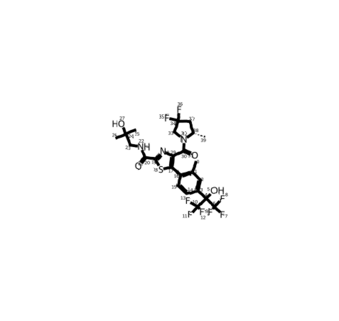 Cc1cc(C(O)(C(F)(F)F)C(F)(F)F)ccc1-c1sc(C(=O)NCC(C)(C)O)nc1C(=O)N1CC(F)(F)C[C@@H]1C